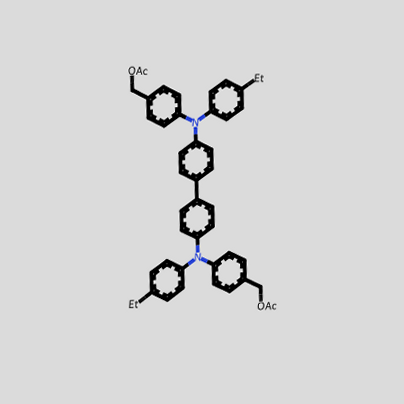 CCc1ccc(N(c2ccc(COC(C)=O)cc2)c2ccc(-c3ccc(N(c4ccc(CC)cc4)c4ccc(COC(C)=O)cc4)cc3)cc2)cc1